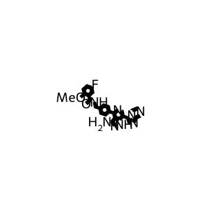 COc1ccc(F)cc1C(=O)NCc1ccc(-c2ncc(-c3cnc4cnccn34)c3[nH]nc(N)c23)cc1